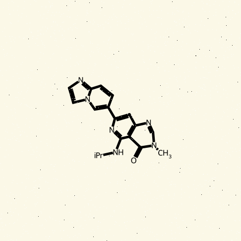 CC(C)Nc1nc(-c2ccc3nccn3c2)cc2ncn(C)c(=O)c12